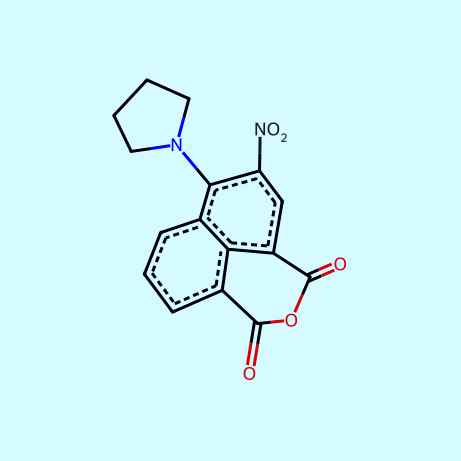 O=C1OC(=O)c2cc([N+](=O)[O-])c(N3CCCC3)c3cccc1c23